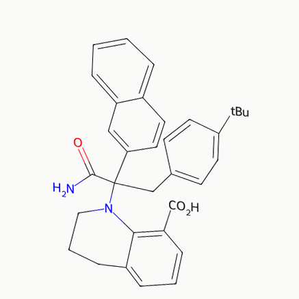 CC(C)(C)c1ccc(CC(C(N)=O)(c2ccc3ccccc3c2)N2CCCc3cccc(C(=O)O)c32)cc1